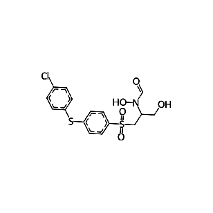 O=CN(O)C(CO)CS(=O)(=O)c1ccc(Sc2ccc(Cl)cc2)cc1